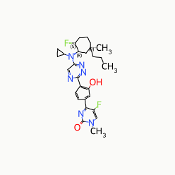 CCC[C@]1(C)CCC[C@H](F)[C@H](N(c2cnc(-c3ccc(-c4nc(=O)n(C)cc4F)cc3O)nn2)C2CC2)C1